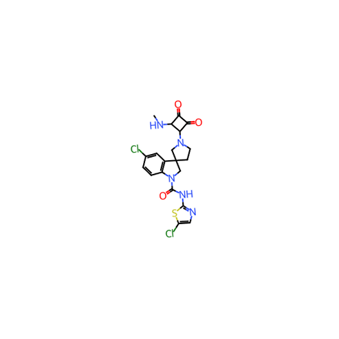 CNC1C(=O)C(=O)C1N1CCC2(CN(C(=O)Nc3ncc(Cl)s3)c3ccc(Cl)cc32)C1